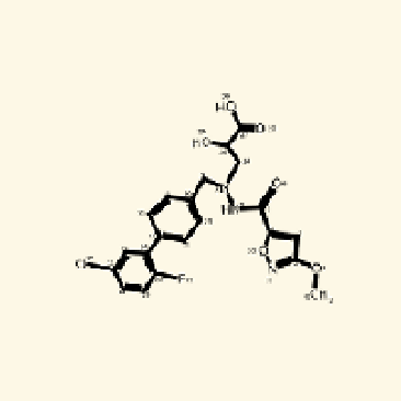 COc1cc(C(=O)NN(Cc2ccc(-c3cc(Cl)ccc3F)cc2)CC(O)C(=O)O)on1